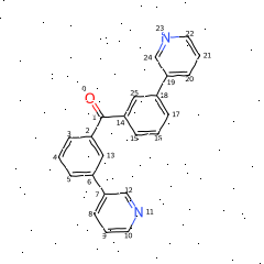 O=C(c1cccc(-c2cccnc2)c1)c1cccc(-c2cccnc2)c1